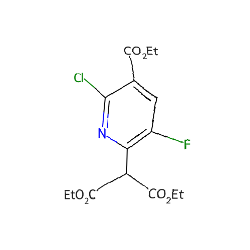 CCOC(=O)c1cc(F)c(C(C(=O)OCC)C(=O)OCC)nc1Cl